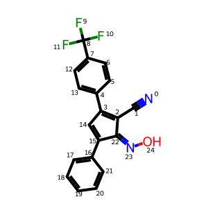 N#CC1=C(c2ccc(C(F)(F)F)cc2)C=C(c2ccccc2)C1=NO